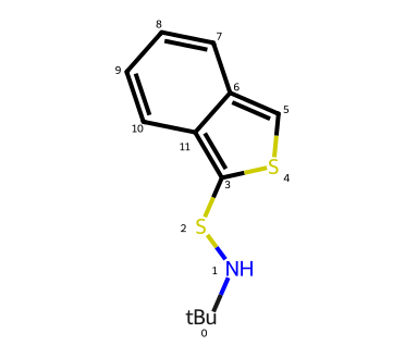 CC(C)(C)NSc1scc2ccccc12